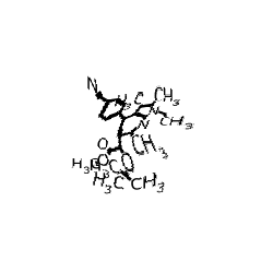 CCn1c(C)c(C)c2c1N=C(C)C(C(OC(C)(C)C)C(=O)OC)=CC2c1ccc(C#N)cc1